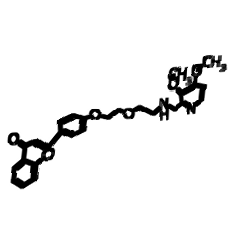 COc1ccnc(CNCCOCCOc2ccc(-c3cc(=O)c4ccccc4o3)cc2)c1OC